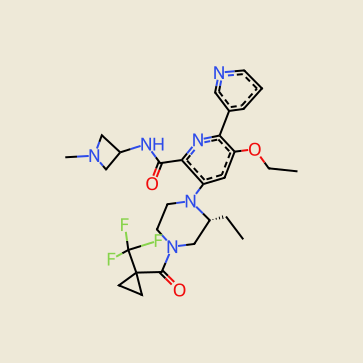 CCOc1cc(N2CCN(C(=O)C3(C(F)(F)F)CC3)C[C@H]2CC)c(C(=O)NC2CN(C)C2)nc1-c1cccnc1